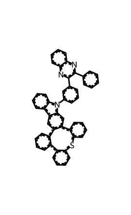 c1ccc(-c2nc3ccccc3nc2-c2cccc(-n3c4ccccc4c4cc5c(cc43)c3ccccc3sc3ccccc3c3ccccc35)c2)cc1